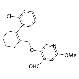 COc1cc(C=O)c(OCC2=C(c3ccccc3Cl)CCCC2)cn1